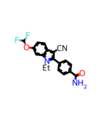 CCn1c(-c2ccc(C(N)=O)cc2)c(C#N)c2ccc(OC(F)F)cc21